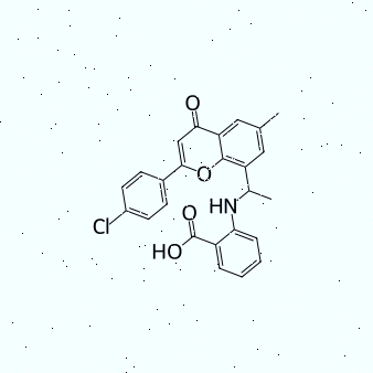 Cc1cc(C(C)Nc2ccccc2C(=O)O)c2oc(-c3ccc(Cl)cc3)cc(=O)c2c1